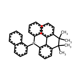 CC1(C)c2ccccc2-c2c(N(c3ccccc3)c3cccc4ccccc34)cccc2C1(C)C